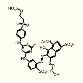 CC(=O)Nc1cc(S(=O)(=O)O)cc2cc(SOOO)c(/N=N/c3cc(Nc4nc(Cl)nc(Nc5ccc(S(=O)(=O)CCOS(=O)(=O)O)cc5)n4)ccc3S(=O)(=O)O)c(O)c12